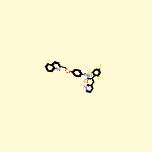 O=C(Nc1ccc(OCc2ccc3ccccc3n2)cc1)C(Cc1cccnc1)c1c(F)cc(F)cc1F